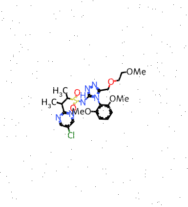 COCCOCc1nnc(NS(=O)(=O)C(C)C(C)c2ncc(Cl)cn2)n1-c1c(OC)cccc1OC